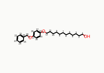 OCCCCCCCCCCCCOc1ccc(OCc2ccccc2)cc1